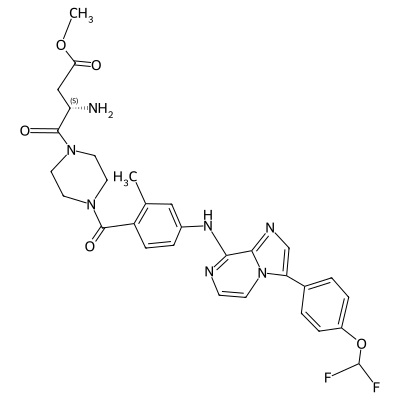 COC(=O)C[C@H](N)C(=O)N1CCN(C(=O)c2ccc(Nc3nccn4c(-c5ccc(OC(F)F)cc5)cnc34)cc2C)CC1